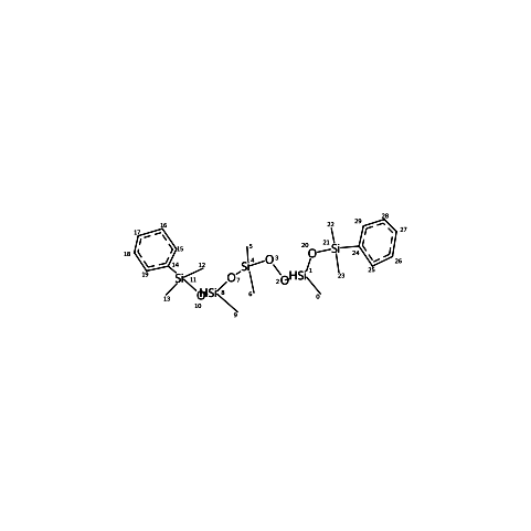 C[SiH](OO[Si](C)(C)O[SiH](C)O[Si](C)(C)c1ccccc1)O[Si](C)(C)c1ccccc1